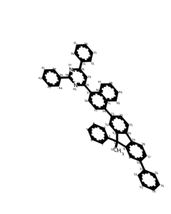 CC1(c2ccccc2)c2cc(-c3ccccc3)ccc2-c2ccc(-c3ccc(-c4cc(-c5ccccc5)nc(-c5ccccc5)n4)c4ccccc34)cc21